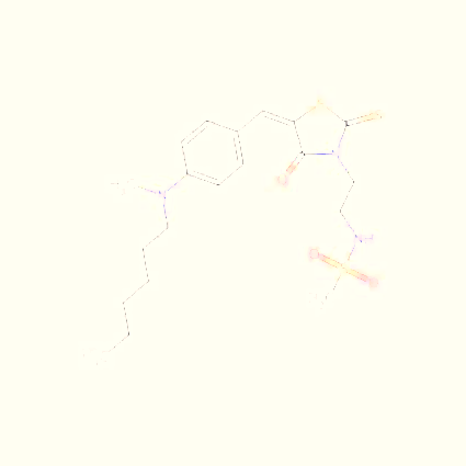 CCCCCCN(C)c1ccc(C=C2SC(=S)N(CCNS(C)(=O)=O)C2=O)cc1